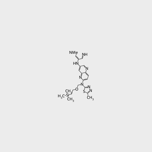 CN/C=C(\C=N)Nc1cnc2ccc(N(COCC[Si](C)(C)C)c3nnc(C)s3)nc2c1